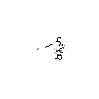 CCCCCCCCCCCCc1cccnc1-n1nnc(CC(=O)Nc2c(C(C)C)cccc2C(C)C)n1